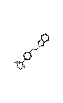 c1ccc2cn(CCc3ccc(C4=NCCN4)cc3)cc2c1